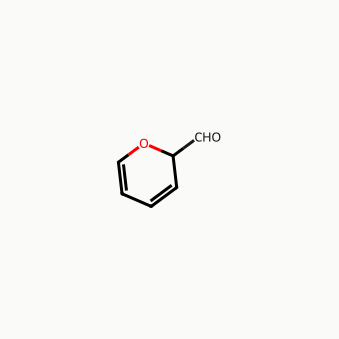 O=CC1C=CC=CO1